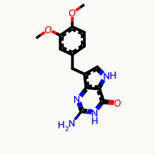 COc1ccc(Cc2c[nH]c3c(=O)[nH]c(N)nc23)cc1OC